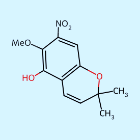 COc1c([N+](=O)[O-])cc2c(c1O)C=CC(C)(C)O2